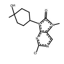 Cn1c(=O)n(C2CCC(C)(O)CC2)c2nc(Cl)ncc21